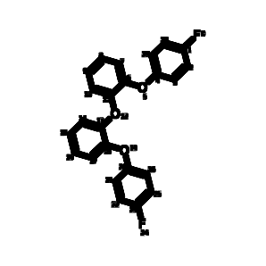 Fc1ccc(Oc2ccccc2Oc2ccccc2Oc2ccc(F)cc2)cc1